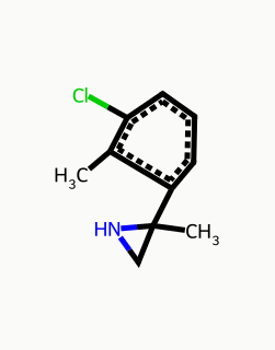 Cc1c(Cl)cccc1C1(C)CN1